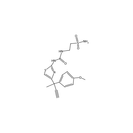 C#CC(C)(c1ccc(OC)cc1)c1csc(NC(=O)NCCS(N)(=O)=O)n1